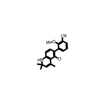 COc1c(C#N)cccc1-c1ccc2c(c1Cl)C(C)=CC(C)(C)N2